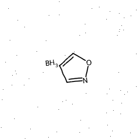 B.c1cnoc1